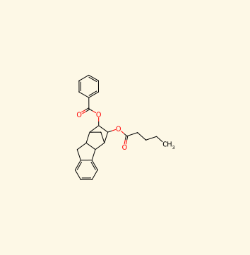 CCCCC(=O)OC1C2CC(C3Cc4ccccc4C32)C1OC(=O)c1ccccc1